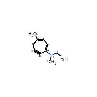 CCN(C)C1=CC=C(C)CC#C1